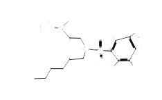 CCCCCCN(CCN(C)C)S(=O)(=O)c1cc(Cl)cc(Cl)c1O